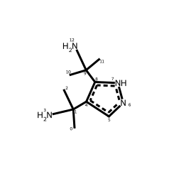 CC(C)(N)c1cn[nH]c1C(C)(C)N